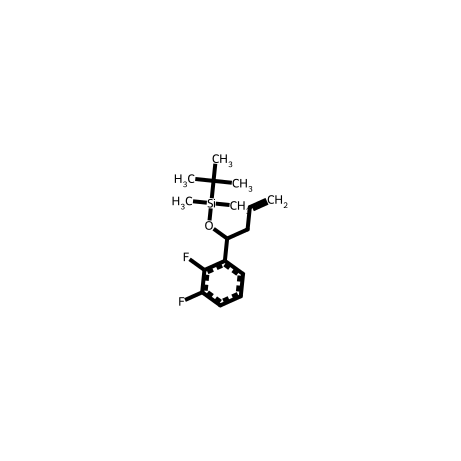 C=CCC(O[Si](C)(C)C(C)(C)C)c1cccc(F)c1F